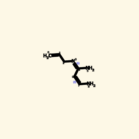 C=CC/N=C(N)\C=C/N